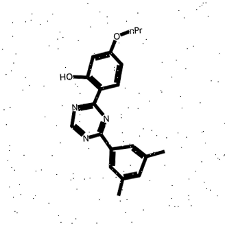 CCCOc1ccc(-c2ncnc(-c3cc(C)cc(C)c3)n2)c(O)c1